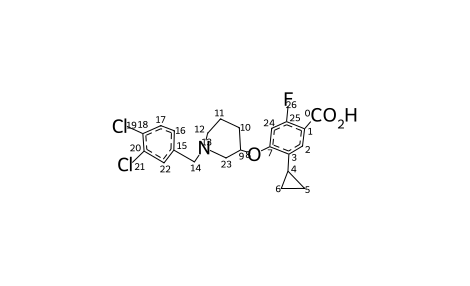 O=C(O)c1cc(C2CC2)c(OC2CCCN(Cc3ccc(Cl)c(Cl)c3)C2)cc1F